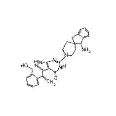 C=C(c1ccccc1CO)c1n[nH]c2nc(N3CCC4(CC3)Cc3ccccc3[C@H]4N)[nH]c(=O)c12